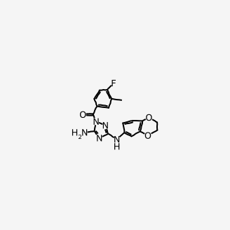 Cc1cc(C(=O)n2nc(Nc3ccc4c(c3)OCCO4)nc2N)ccc1F